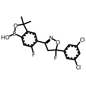 CC1(C)OB(O)c2cc(F)c(C3=NOC(F)(c4cc(Cl)cc(Cl)c4)C3)cc21